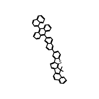 CC1(C)c2c(ccc3ccccc23)-c2ccc3c(sc4ccc(-c5ccc6cc(-c7c8ccccc8c(-c8cccc9ccccc89)c8ccccc78)ccc6c5)cc43)c21